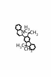 C=Cc1cc2c(cc1C1C=Cc3ccccc3N1C)C(C)(C)c1ccccc1-2